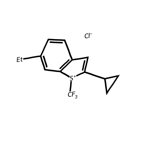 CCc1ccc2cc(C3CC3)[s+](C(F)(F)F)c2c1.[Cl-]